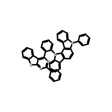 c1ccc(-c2nc(-c3ccccc3-n3c4ccccc4c4ccc5c(c6ccccc6n5-c5ccccc5)c43)c3c(n2)sc2ccccc23)cc1